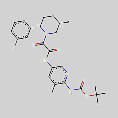 Cc1cc(NC(=O)C(=O)N2C[C@H](C)CC[C@H]2c2cccc(Cl)c2)cnc1NC(=O)OC(C)(C)C